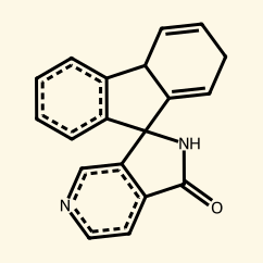 O=C1NC2(C3=CCC=CC3c3ccccc32)c2cnccc21